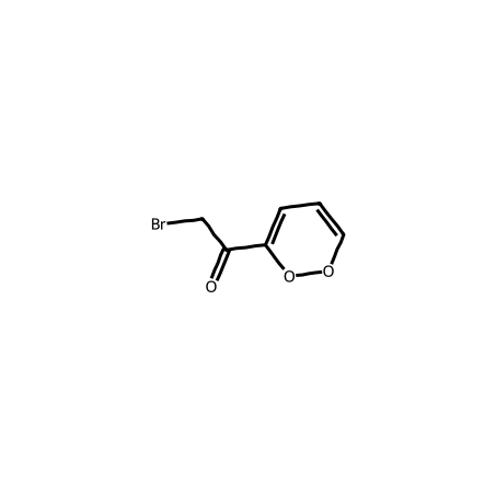 O=C(CBr)C1=CC=COO1